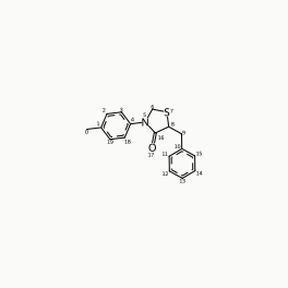 Cc1ccc(N2CSC(Cc3ccccc3)C2=O)cc1